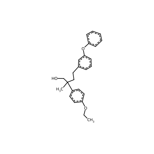 CCOc1ccc(C(C)(CO)CCc2cccc(Oc3ccccc3)c2)cc1